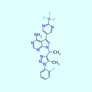 Cc1c(C(C)n2cc(-c3cnc(C(F)(F)F)nc3)c3c(N)ncnc32)nnn1-c1ccccc1F